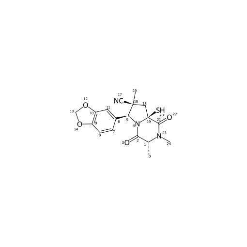 C[C@@H]1C(=O)N2[C@@H](c3ccc4c(c3)OCO4)[C@@](C)(C#N)C[C@]2(S)C(=O)N1C